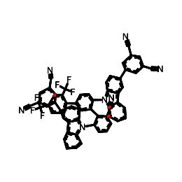 N#Cc1cc(C#N)cc(-c2ccc3c(c2)c2ccccc2n3-c2ccc(-c3ccc(C(F)(F)F)cc3C(F)(F)F)cc2-c2c(C#N)cccc2-n2c3ccccc3c3cc(-c4cc(C#N)cc(C#N)c4)ccc32)c1